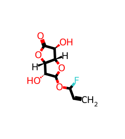 C=CC(F)OC1O[C@@H]2[C@@H](OC(=O)[C@H]2O)[C@H]1O